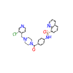 O=C(c1ccc(N[S+]([O-])c2cccc3cccnc23)cc1)N1CCN(Cc2ccncc2Cl)CC1